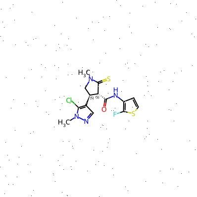 CN1C[C@H](c2cnn(C)c2Cl)[C@@H](C(=O)Nc2ccsc2F)C1=S